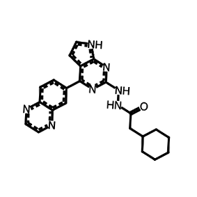 O=C(CC1CCCCC1)NNc1nc(-c2ccc3nccnc3c2)c2cc[nH]c2n1